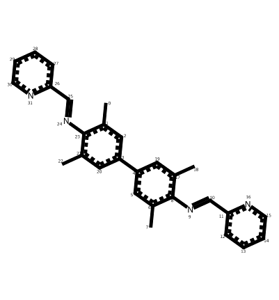 Cc1cc(-c2cc(C)c(N=Cc3ccccn3)c(C)c2)cc(C)c1N=Cc1ccccn1